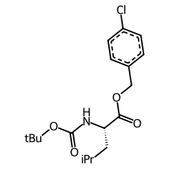 CC(C)C[C@H](NC(=O)OC(C)(C)C)C(=O)OCc1ccc(Cl)cc1